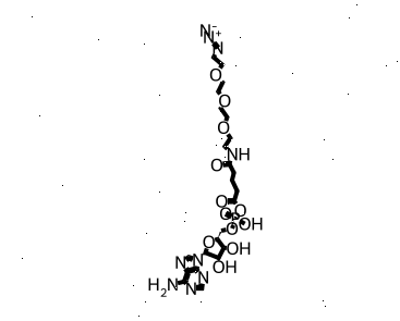 [N-]=[N+]=NCCOCCOCCOCCNC(=O)CCCC(=O)OP(=O)(O)OC[C@H]1O[C@@H](n2cnc3c(N)ncnc32)[C@@H](O)C1O